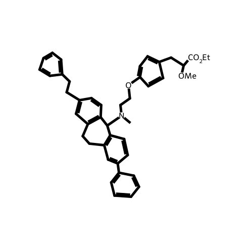 CCOC(=O)C(Cc1ccc(OCCN(C)C2c3ccc(CCc4ccccc4)cc3CCc3cc(-c4ccccc4)ccc32)cc1)OC